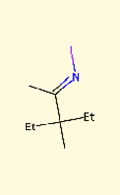 CCC(C)(CC)/C(C)=N/I